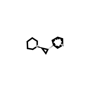 c1cncc([C@@H]2C[C@H]2N2CCCCC2)c1